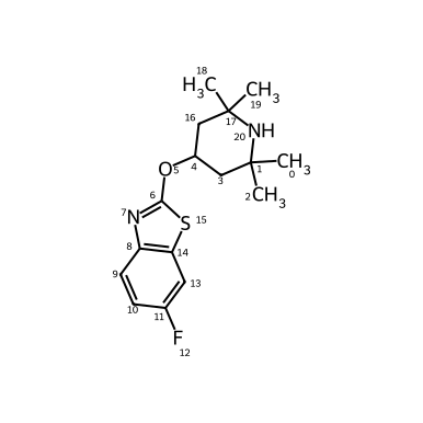 CC1(C)CC(Oc2nc3ccc(F)cc3s2)CC(C)(C)N1